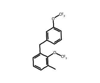 Cc1cccc(Cc2cccc(OC(F)(F)F)c2)c1OC(F)(F)F